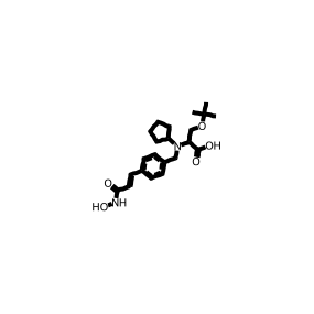 CC(C)(C)OCC(C(=O)O)N(Cc1ccc(C=CC(=O)NO)cc1)C1CCCC1